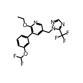 CCOc1ncc(Cn2ncnc2C(F)(F)F)cc1-c1cccc(OC(F)F)c1